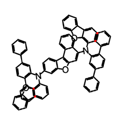 c1ccc(-c2ccc(-c3ccccc3)c(N(c3ccc4c(c3)oc3cc(N(c5cc(-c6ccccc6)ccc5-c5ccccc5)c5cccc6c5oc5ccccc56)c5ccccc5c34)c3cccc4c3oc3ccccc34)c2)cc1